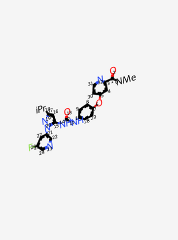 CNC(=O)c1cc(Oc2ccc(NC(=O)Nc3cc(C(C)C)nn3-c3cncc(F)c3)cc2)ccn1